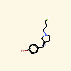 FCCCN1CC/C(=C/c2ccc(Br)cc2)C1